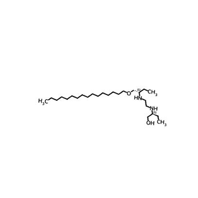 CCCCCCCCCCCCCCCCOC[C@H](CC)NCCN[C@@H](CC)CO